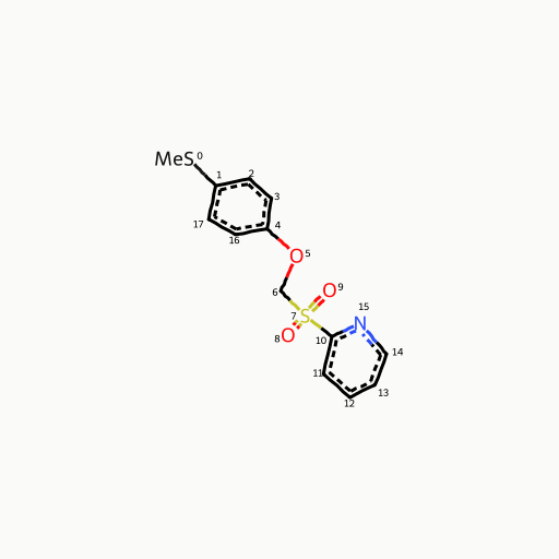 CSc1ccc(OCS(=O)(=O)c2ccccn2)cc1